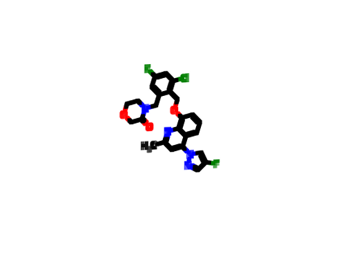 Cc1cc(-n2cc(F)cn2)c2cccc(OCc3c(Cl)cc(F)cc3CN3CCOCC3=O)c2n1